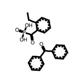 CCc1ccccc1C(=O)P(=O)(O)O.O=C(c1ccccc1)c1ccccc1